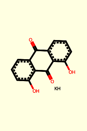 O=C1c2cccc(O)c2C(=O)c2c(O)cccc21.[KH]